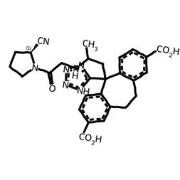 CC(CC1(c2nnn[nH]2)c2ccc(C(=O)O)cc2CCc2cc(C(=O)O)ccc21)NCC(=O)N1CCC[C@H]1C#N